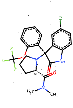 CN(C)C(=O)[C@@H]1CCCN1C1(c2ccccc2OC(F)(F)F)C(=O)Nc2ccc(Cl)cc21